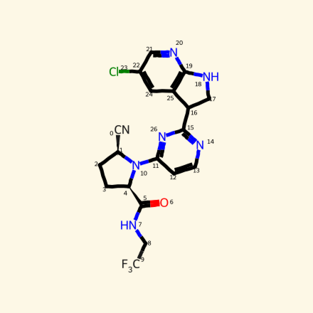 N#C[C@@H]1CC[C@H](C(=O)NCC(F)(F)F)N1c1ccnc(C2CNc3ncc(Cl)cc32)n1